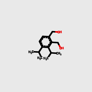 CC(C)c1ccc(CO)c(CO)c1C(C)C